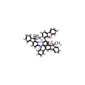 CC1(C)c2ccccc2-c2cc(-c3ccccc3N(c3cccc(-c4cccc5c4oc4ccccc45)c3)c3ccc4c(c3)C(C)(C)c3ccccc3-4)ccc21